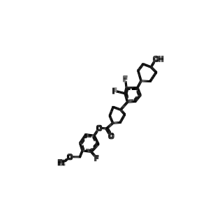 CCOCc1ccc(OC(=O)C2CCC(c3ccc(C4CCC(O)CC4)c(F)c3F)CC2)cc1F